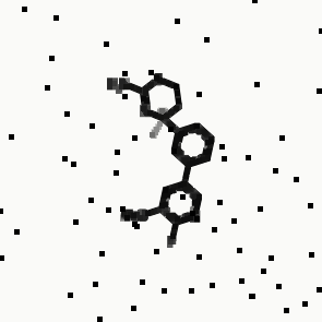 COc1cc(-c2cccc([C@]3(C)CCSC(N)=N3)c2)cnc1F